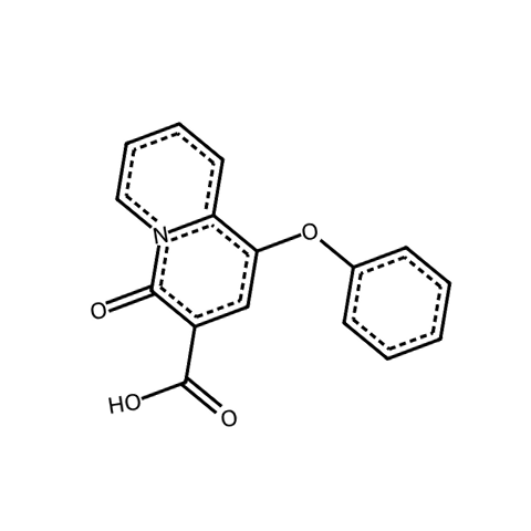 O=C(O)c1cc(Oc2ccccc2)c2ccccn2c1=O